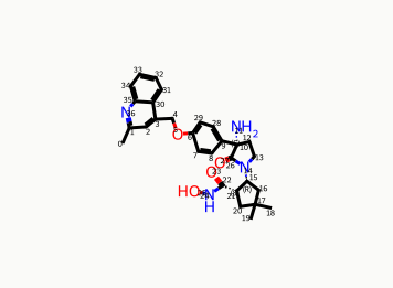 Cc1cc(COc2ccc([C@@]3(N)CCN([C@@H]4CC(C)(C)C[C@@H]4C(=O)NO)C3=O)cc2)c2ccccc2n1